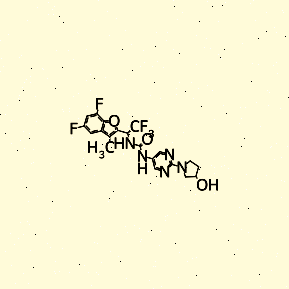 Cc1c([C@H](NC(=O)Nc2cnc(N3CC[C@H](O)C3)nc2)C(F)(F)F)oc2c(F)cc(F)cc12